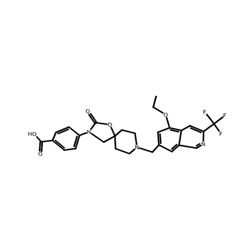 CCOc1cc(CN2CCC3(CC2)CN(c2ccc(C(=O)O)cc2)C(=O)O3)cc2cnc(C(F)(F)F)cc12